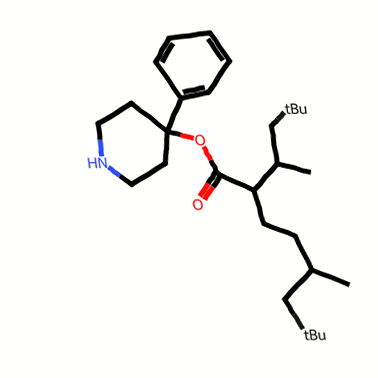 CC(CCC(C(=O)OC1(c2ccccc2)CCNCC1)C(C)CC(C)(C)C)CC(C)(C)C